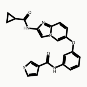 O=C(Nc1cccc(Oc2ccc3nc(NC(=O)C4CC4)cn3c2)c1)c1ccsc1